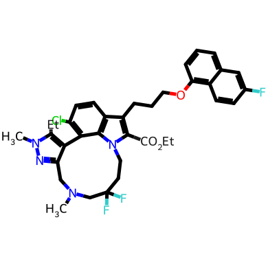 CCOC(=O)c1c(CCCOc2cccc3cc(F)ccc23)c2ccc(Cl)c3c2n1CCC(F)(F)CN(C)Cc1nn(C)c(CC)c1-3